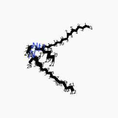 CCCCCCCCCCCCCCCCC(CCCCC)c1[nH]cc[n+]1C(C)CCCCCCCCCCCCCC